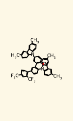 Cc1ccc2c(c1)c1cc(C)ccc1n2-c1ccc(C#N)c(-c2cc(-c3ccc(C(F)(F)F)cc3C(F)(F)F)ccc2-n2c3ccc(C)cc3c3cc(C)ccc32)c1